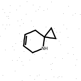 [CH]1CC12CC=CCN2